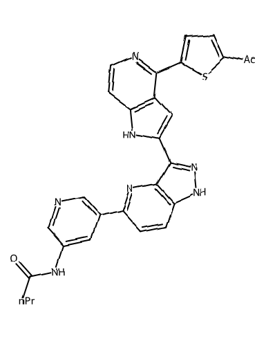 CCCC(=O)Nc1cncc(-c2ccc3[nH]nc(-c4cc5c(-c6ccc(C(C)=O)s6)nccc5[nH]4)c3n2)c1